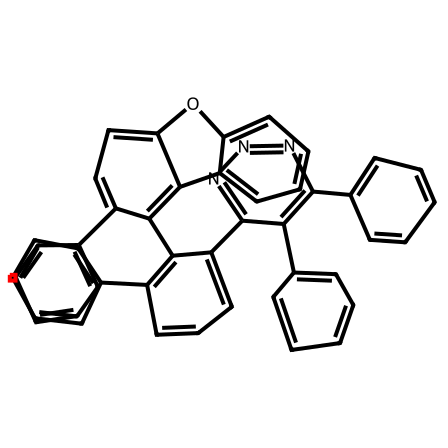 c1ccc(-c2cccc(-c3nnnc(-c4ccccc4)c3-c3ccccc3)c2-c2c(-c3ccccc3)ccc3oc4ccccc4c23)cc1